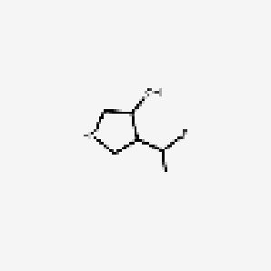 OC1CNCC1C(F)F